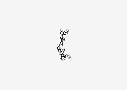 CC(C)(C)c1ccc(O[C@@H](Cc2ccc(OCCN[C@H]3C4CN(Cc5ccc(C(F)(F)F)cc5C(F)(F)F)C[C@@H]43)cc2)C(=O)O)cc1